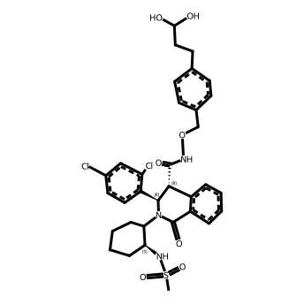 CS(=O)(=O)N[C@H]1CCCCC1N1C(=O)c2ccccc2[C@@H](C(=O)NOCc2ccc(CCC(O)O)cc2)[C@@H]1c1ccc(Cl)cc1Cl